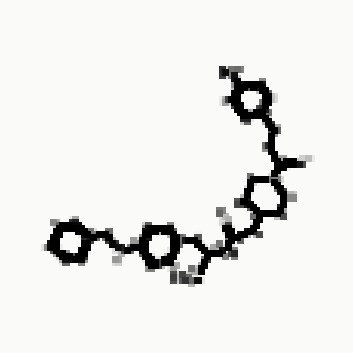 N#Cc1ccc(CCC(=O)N2CCC(CC(=O)NC(Cc3ccc(OCc4ccccc4)cc3)C(=O)O)CC2)cc1